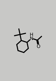 CC(=O)NC1CCCCC1C(C)(C)C